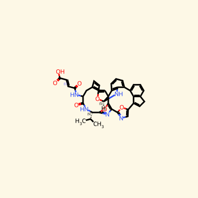 CC(C)[C@@H]1NC(=O)C(NC(=O)/C=C/C(=O)O)Cc2ccc3c(c2)C24c5cccc(c5N[C@H]2O3)-c2cccc3c2C(=CC3)c2cnc(o2)-c2nc1oc24